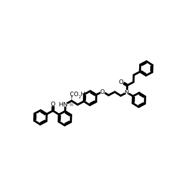 O=C(c1ccccc1)c1ccccc1N[C@@H](Cc1ccc(OCCCN(C(=O)CCc2ccccc2)c2ccccc2)cc1)C(=O)O